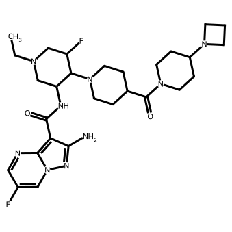 CCN1CC(F)C(N2CCC(C(=O)N3CCC(N4CCC4)CC3)CC2)C(NC(=O)c2c(N)nn3cc(F)cnc23)C1